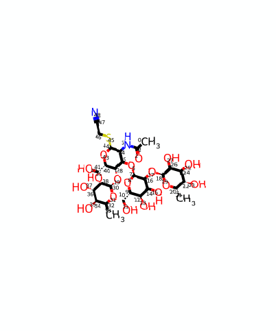 CC(=O)NC1C(O[C@@H]2O[C@@H](CO)[C@H](O)C(O)C2O[C@@H]2O[C@@H](C)[C@@H](O)C(O)C2O)[C@H](O[C@@H]2OC(C)[C@@H](O)[C@H](O)C2O)[C@H](CO)O[C@H]1SCC#N